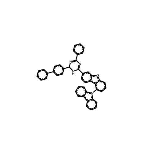 c1ccc(C2=NC(c3ccc(-c4ccccc4)cc3)NC(c3ccc4c(c3)oc3cccc(-n5c6ccccc6c6ccccc65)c34)=N2)cc1